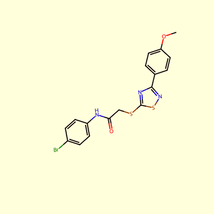 COc1ccc(-c2nsc(SCC(=O)Nc3ccc(Br)cc3)n2)cc1